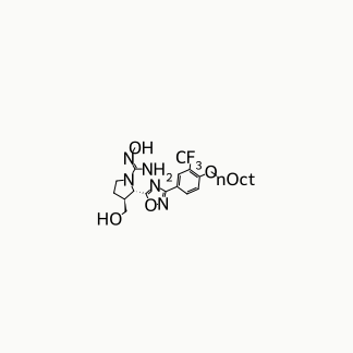 CCCCCCCCOc1ccc(-c2noc([C@@H]3[C@@H](CO)CCN3/C(N)=N/O)n2)cc1C(F)(F)F